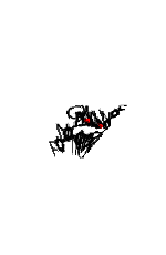 C=CC(=O)N1CCCC(c2cnc(-c3ccc(F)cc3)cc2-c2cc(C3CC(c4ccc(-c5ccc(F)cc5)nc4-c4ccn(C)n4)CN3C(=O)C=C)n(C)n2)C1